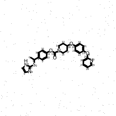 CC(Sc1ncc[nH]1)c1ccc(OC(=O)N2CCC(Oc3ccc(Oc4ccccn4)cc3)CC2)cc1